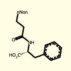 CCCCCCCCCCCC(=O)N[C@H](Cc1ccccc1)C(=O)O